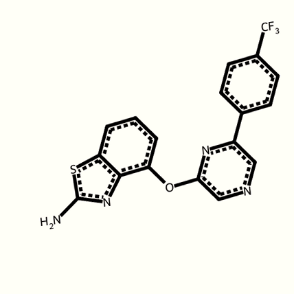 Nc1nc2c(Oc3cncc(-c4ccc(C(F)(F)F)cc4)n3)cccc2s1